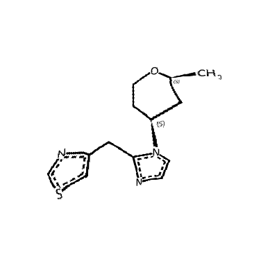 C[C@H]1C[C@@H](n2ccnc2Cc2cscn2)CCO1